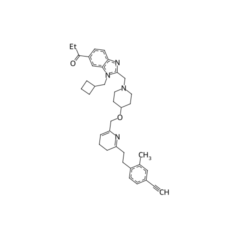 C#Cc1ccc(CCC2=NC(COC3CCN(Cc4nc5ccc(C(=O)CC)cc5n4CC4CCC4)CC3)=CCC2)c(C)c1